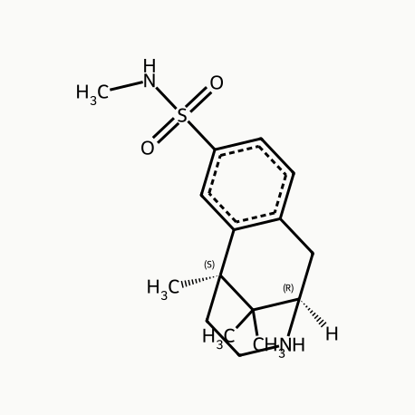 CNS(=O)(=O)c1ccc2c(c1)[C@]1(C)CCN[C@H](C2)C1(C)C